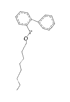 CCCCCCCCO[I+]c1ccccc1-c1ccccc1